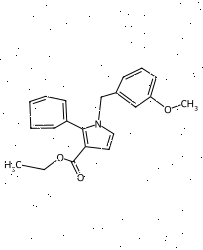 CCOC(=O)c1ccn(Cc2cccc(OC)c2)c1-c1ccccc1